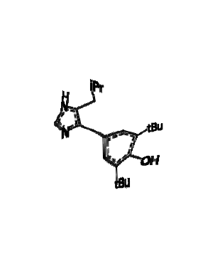 CC(C)Cc1[nH]cnc1-c1cc(C(C)(C)C)c(O)c(C(C)(C)C)c1